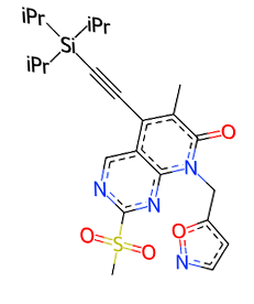 Cc1c(C#C[Si](C(C)C)(C(C)C)C(C)C)c2cnc(S(C)(=O)=O)nc2n(Cc2ccno2)c1=O